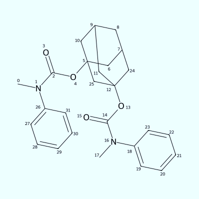 CN(C(=O)OC12CC3CC(C1)CC(OC(=O)N(C)c1ccccc1)(C3)C2)c1ccccc1